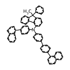 CC1(c2ccccc2)c2ccccc2-c2c(N(c3ccc(-c4ccc(-c5cccc6ccccc56)cc4)cc3)c3ccc(-c4cccc5ccccc45)cc3)cccc21